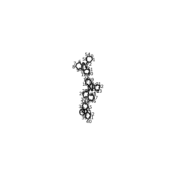 c1ccc(-n2c3ccccc3c3cc(-c4ccc5c(c4)c4ccccc4n5-c4cccc5c(-c6ccc7oc8ccccc8c7c6)cccc45)ccc32)cc1